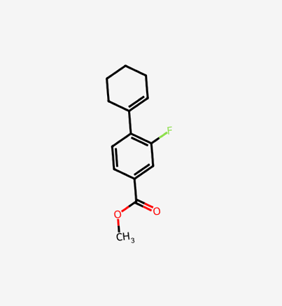 COC(=O)c1ccc(C2=CCCCC2)c(F)c1